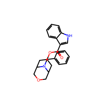 O=C(OC1CC2COCC(C1)N2Cc1ccccc1)c1c[nH]c2ccccc12